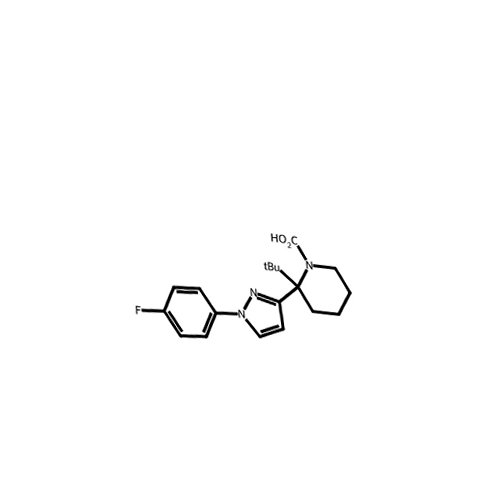 CC(C)(C)C1(c2ccn(-c3ccc(F)cc3)n2)CCCCN1C(=O)O